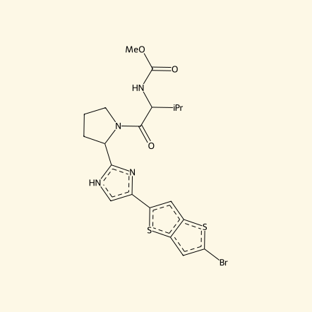 COC(=O)NC(C(=O)N1CCCC1c1nc(-c2cc3sc(Br)cc3s2)c[nH]1)C(C)C